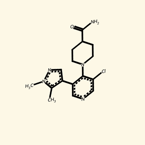 Cc1c(-c2cncc(Cl)c2N2CCC(C(N)=O)CC2)cnn1C